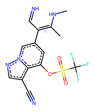 CN/C(C)=C(\C=N)c1cc(OS(=O)(=O)C(F)(F)F)c2c(C#N)cnn2c1